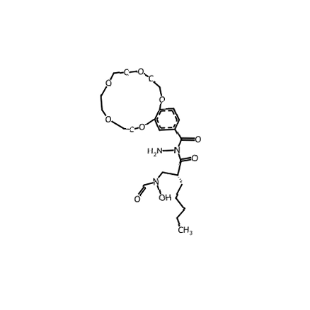 CCCCC[C@H](CN(O)C=O)C(=O)N(N)C(=O)c1ccc2c(c1)OCCOCCOCCOCCO2